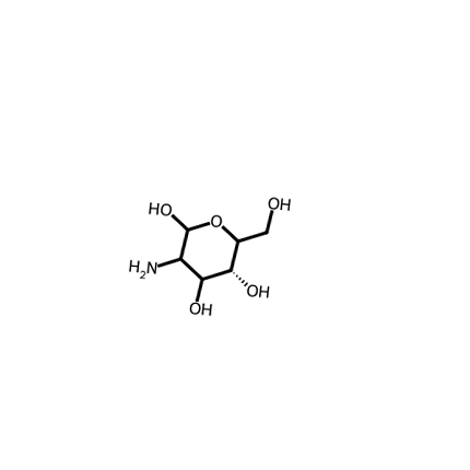 NC1C(O)OC(CO)[C@H](O)C1O